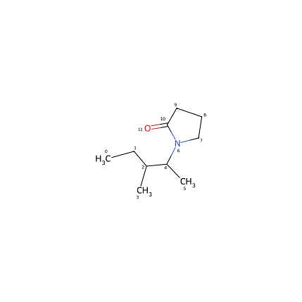 CCC(C)C(C)N1CCCC1=O